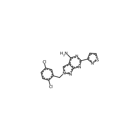 Nc1nc(-c2ccsn2)nc2nn(Cc3cc(Cl)ccc3Cl)cc12